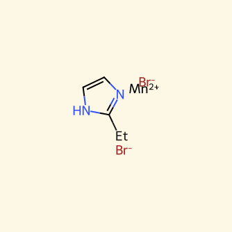 CCc1ncc[nH]1.[Br-].[Br-].[Mn+2]